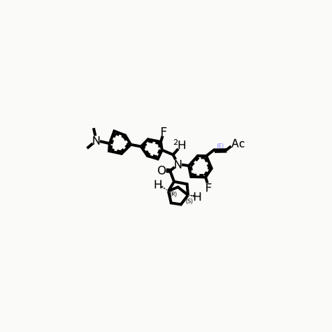 [2H]C(c1ccc(-c2ccc(N(C)C)cc2)cc1F)N(C(=O)C1C[C@H]2CC[C@@H]1C2)c1cc(F)cc(/C=C/C(C)=O)c1